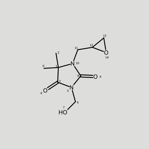 CC1(C)C(=O)N(CO)C(=O)N1CC1CO1